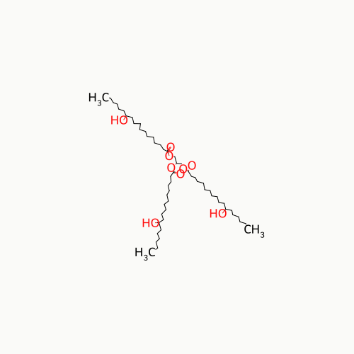 CCCCCCC(O)CCCCCCCCCCC(=O)OCC(COC(=O)CCCCCCCCCCC(O)CCCCCC)OC(=O)CCCCCCCCCCC(O)CCCCCC